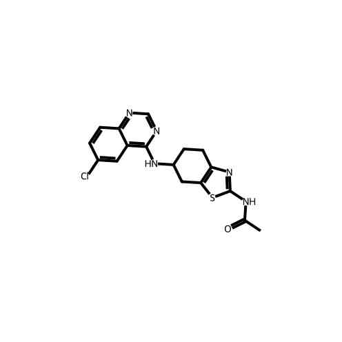 CC(=O)Nc1nc2c(s1)CC(Nc1ncnc3ccc(Cl)cc13)CC2